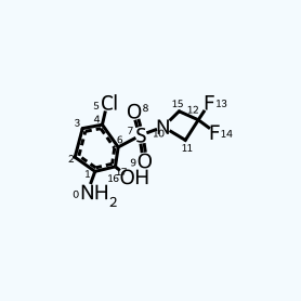 Nc1ccc(Cl)c(S(=O)(=O)N2CC(F)(F)C2)c1O